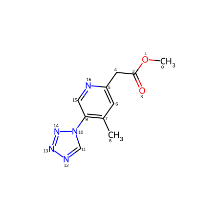 COC(=O)Cc1cc(C)c(-n2cnnn2)cn1